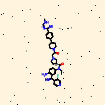 CCN(C(=O)[C@@H]1CCN(CC(=O)N2CC=C(c3ccc(C(=N)/N=C\NC)cc3)CC2)C1)c1ccc(N)c(C(=N)c2ccncc2F)c1